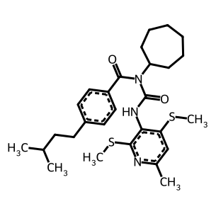 CSc1cc(C)nc(SC)c1NC(=O)N(C(=O)c1ccc(CCC(C)C)cc1)C1CCCCCC1